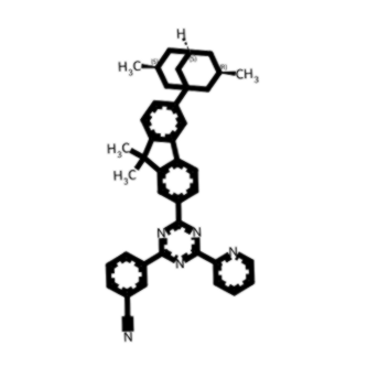 C[C@@H]1C[C@@H]2C[C@H](C)CC(c3ccc4c(c3)-c3ccc(-c5nc(-c6cccc(C#N)c6)nc(-c6ccccn6)n5)cc3C4(C)C)(C1)C2